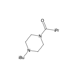 CCC(C)N1CCN(C(=O)C(C)C)CC1